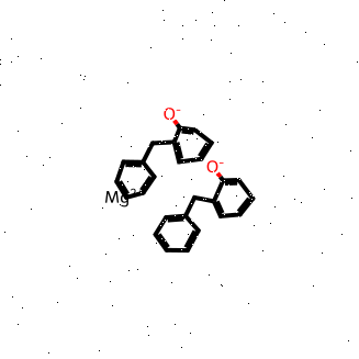 [Mg+2].[O-]c1ccccc1Cc1ccccc1.[O-]c1ccccc1Cc1ccccc1